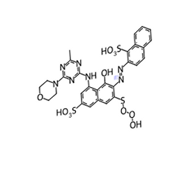 Cc1nc(Nc2cc(S(=O)(=O)O)cc3cc(SOOO)c(/N=N/c4ccc5ccccc5c4S(=O)(=O)O)c(O)c23)nc(N2CCOCC2)n1